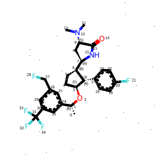 C[C@@H](O[C@H]1CC[C@@H]([C@H]2C[C@H](N(C)C)C(=O)N2)[C@@H]1c1ccc(F)cc1)c1cc(CF)cc(C(F)(F)F)c1